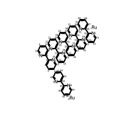 [Ru].[Ru].c1ccc(-c2ccccn2)nc1.c1ccc(-c2ccccn2)nc1.c1ccc(-c2ccccn2)nc1.c1ccc(-c2ccccn2)nc1.c1ccc(-c2ccccn2)nc1.c1ccc(-c2ccccn2)nc1